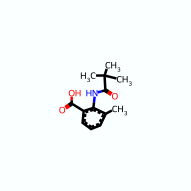 Cc1cccc(C(=O)O)c1NC(=O)C(C)(C)C